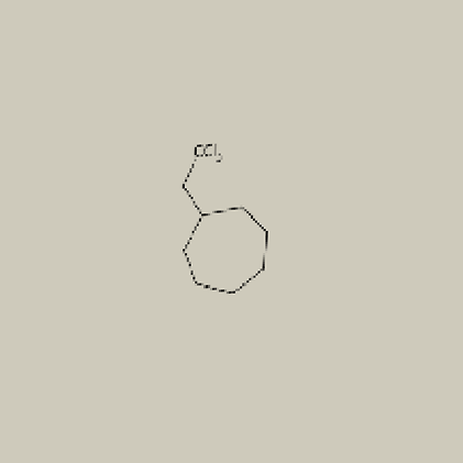 ClC(Cl)(Cl)CC1CCCCCC1